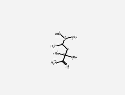 CCCCN(CCCC)C(C)CC(CCCC)(CCCC)C(N)=O